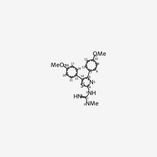 CNC(=N)Nc1nc(-c2ccc(OC)cc2)c(-c2ccc(OC)cc2)s1